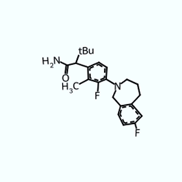 Cc1c(C(C(N)=O)C(C)(C)C)ccc(N2CCCc3cc(F)ccc3C2)c1F